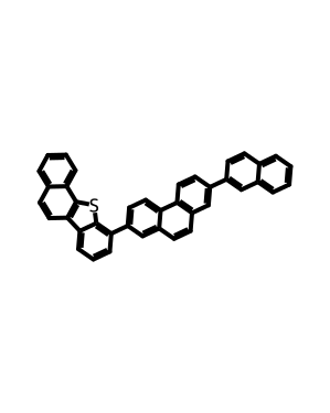 c1ccc2cc(-c3ccc4c(ccc5cc(-c6cccc7c6sc6c8ccccc8ccc76)ccc54)c3)ccc2c1